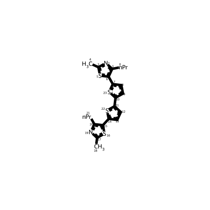 CCCc1nc(C)sc1-c1ccc(-c2ccc(-c3sc(C)nc3CCC)s2)s1